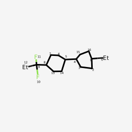 CCC1CCC(C2CCC(C(F)(F)CC)CC2)CC1